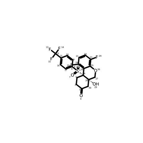 O=C1CC[C@@]2(S(=O)(=O)c3ccc(C(F)(F)F)cc3)c3c(F)ccc(F)c3OC[C@@]2(O)C1